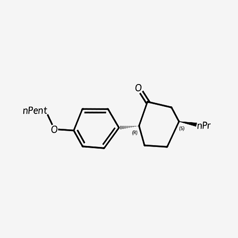 CCCCCOc1ccc([C@H]2CC[C@H](CCC)CC2=O)cc1